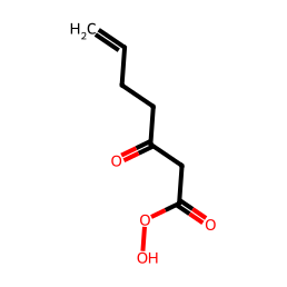 C=CCCC(=O)CC(=O)OO